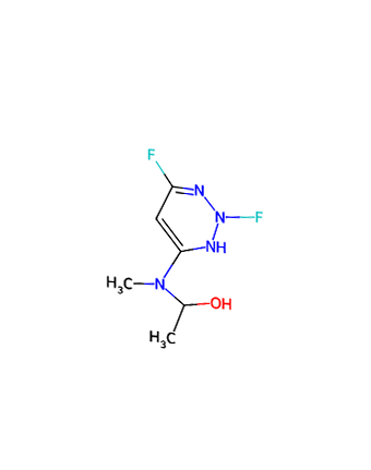 CC(O)N(C)C1=CC(F)=NN(F)N1